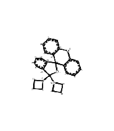 c1ccc2c(c1)Oc1ccccc1C21OC(N2CCC2)(N2CCC2)c2ccccc21